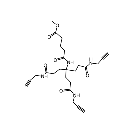 C#CCNC(=O)CCC(CCC(=O)NCC#C)(CCC(=O)NCC#C)NC(=O)CCCC(=O)OC